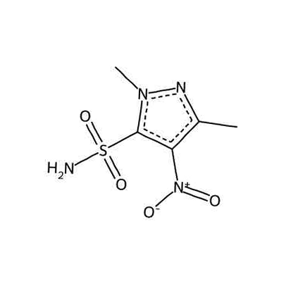 Cc1nn(C)c(S(N)(=O)=O)c1[N+](=O)[O-]